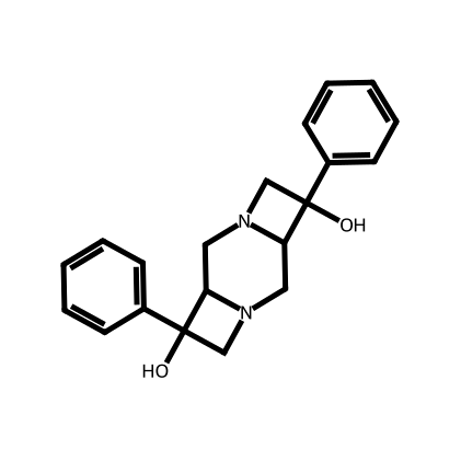 OC1(c2ccccc2)CN2CC3N(CC21)CC3(O)c1ccccc1